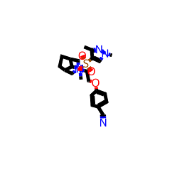 Cc1nn(C)cc1S(=O)(=O)N(C)C1C2CCC1CN(CCOc1ccc(C#N)cc1)C2